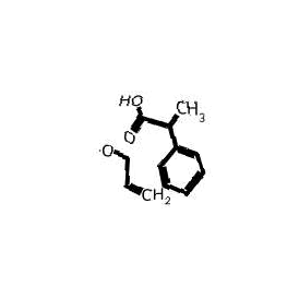 C=CC[O].CC(C(=O)O)c1ccccc1